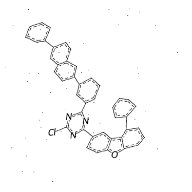 Clc1nc(-c2cccc(-c3ccc4cc(-c5ccccc5)ccc4c3)c2)nc(-c2ccc3oc4cccc(-c5ccccc5)c4c3c2)n1